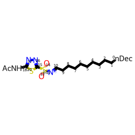 CCCCCCCCCCCCCCCCCCC/C=N/S(=O)(=O)c1nnc(NC(C)=O)s1